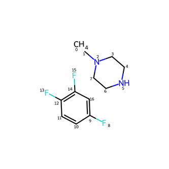 C.CN1CCNCC1.Fc1ccc(F)c(F)c1